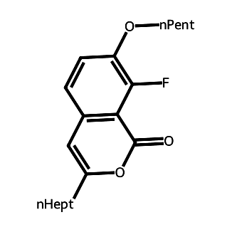 CCCCCCCc1cc2ccc(OCCCCC)c(F)c2c(=O)o1